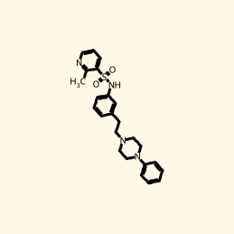 Cc1ncccc1S(=O)(=O)Nc1cccc(CCN2CCN(c3ccccc3)CC2)c1